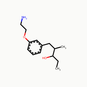 CCC(O)C(C)Cc1cccc(OCCN)c1